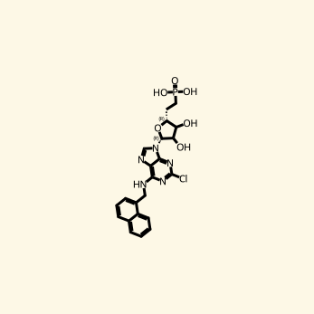 O=P(O)(O)CC[C@H]1O[C@@H](n2cnc3c(NCc4cccc5ccccc45)nc(Cl)nc32)C(O)C1O